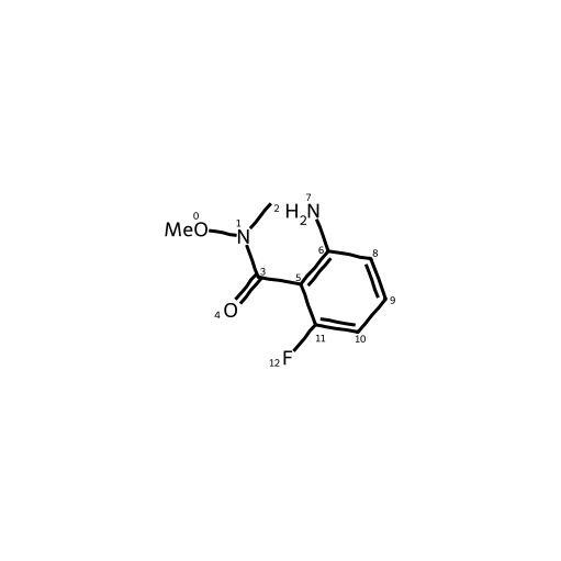 CON(C)C(=O)c1c(N)cccc1F